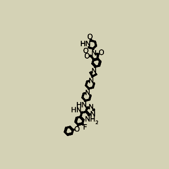 N=C(c1ccc(Oc2ccccc2)c(F)c1)c1c(N)ncnc1NC1CCN(C2CCN(C3CN(c4ccc5c(c4)C(=O)N(C4CCC(=O)NC4=O)C5=O)C3)CC2)CC1